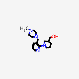 CN1CCN(Cc2[c]ccnc2N2CCCC(CO)C2)CC1